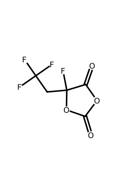 O=C1OC(=O)C(F)(CC(F)(F)F)O1